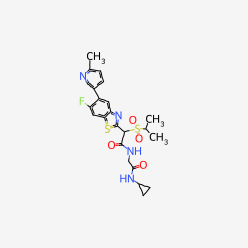 Cc1ccc(-c2cc3nc(C(C(=O)NCC(=O)NC4CC4)S(=O)(=O)C(C)C)sc3cc2F)cn1